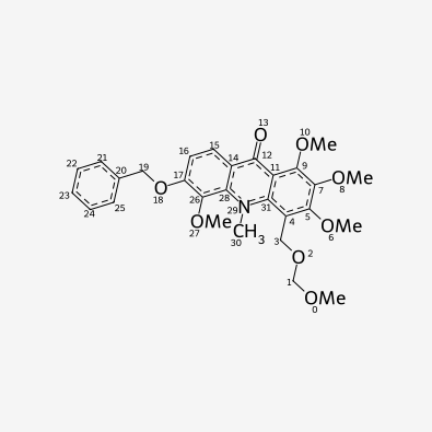 COCOCc1c(OC)c(OC)c(OC)c2c(=O)c3ccc(OCc4ccccc4)c(OC)c3n(C)c12